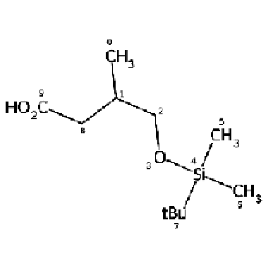 CC(CO[Si](C)(C)C(C)(C)C)CC(=O)O